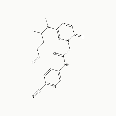 C=CCCC(C)N(C)c1ccc(=O)n(CC(=O)Nc2ccc(C#N)nc2)n1